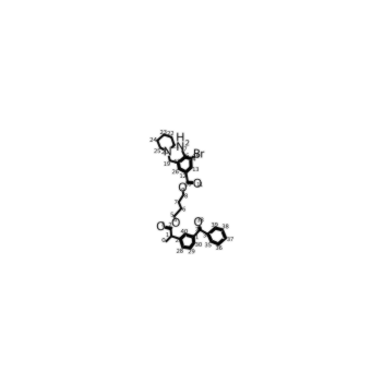 CC(C(=O)OCCCCOC(=O)c1cc(Br)c(N)c(CN2CCCCC2)c1)c1cccc(C(=O)c2ccccc2)c1